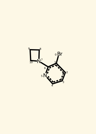 Brc1cccnc1N1CCC1